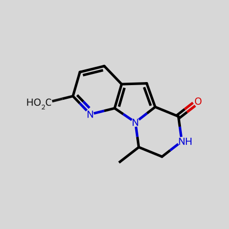 CC1CNC(=O)c2cc3ccc(C(=O)O)nc3n21